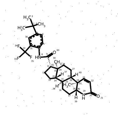 CC(C)(C)c1ccc(NC(=O)[C@H]2CC[C@H]3[C@@H]4CC[C@H]5NC(=O)C=C[C@]5(C)[C@H]4CC[C@]23C)c(C(F)(F)F)c1